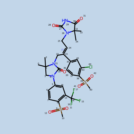 CC1(C)CN(c2ccc(S(C)(=O)=O)c(C(F)(F)F)c2)C(=O)N1C/C(=C\CN1C(=O)NC(=O)C1(C)C)c1ccc(S(C)(=O)=O)c(Cl)c1